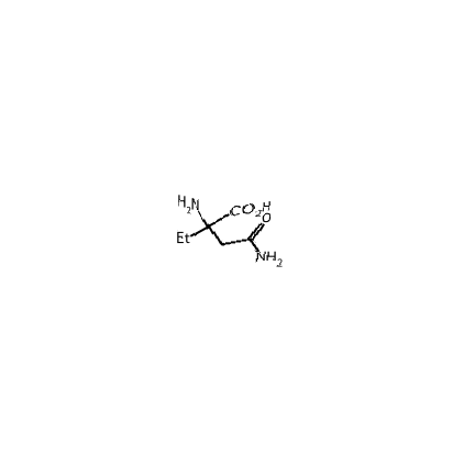 CCC(N)(CC(N)=O)C(=O)O